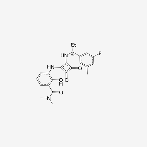 CC[C@@H](Nc1c(Nc2cccc(C(=O)N(C)C)c2O)c(=O)c1=O)c1cc(C)cc(F)c1